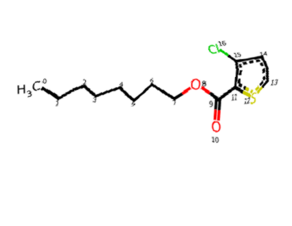 CCCCCCCCOC(=O)c1sccc1Cl